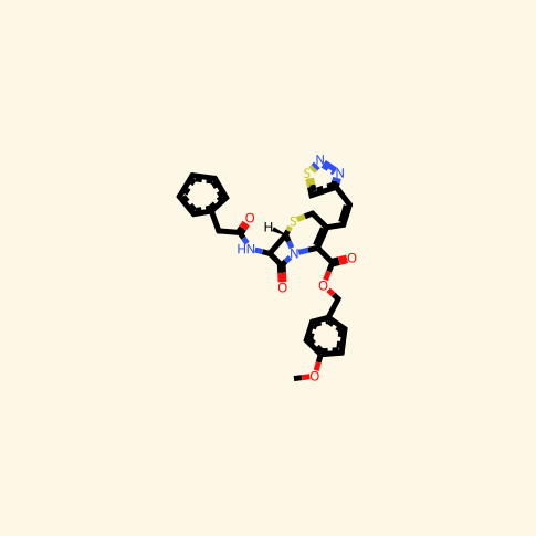 COc1ccc(COC(=O)C2=C(/C=C\c3csnn3)CS[C@H]3C(NC(=O)Cc4ccccc4)C(=O)N23)cc1